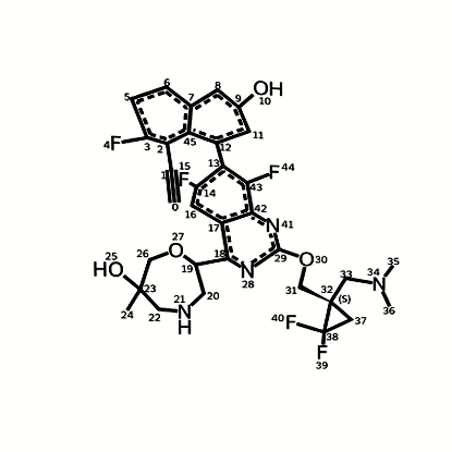 C#Cc1c(F)ccc2cc(O)cc(-c3c(F)cc4c(C5CNCC(C)(O)CO5)nc(OC[C@@]5(CN(C)C)CC5(F)F)nc4c3F)c12